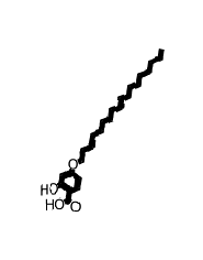 CCCCCCCCC=CCCCCCCCCOc1ccc(C(=O)O)c(O)c1